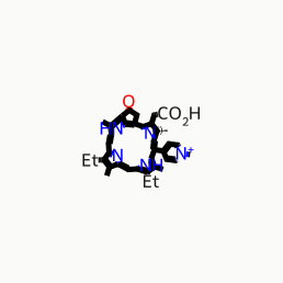 CCC1=C(C)c2cc3[nH]c(c(C)c3CC)c(-c3cc[n+](C)cc3)c3nc(c4c5[nH]c(cc1n2)c(C)c5C(=O)C4)C(CC(=O)O)[C@@H]3C